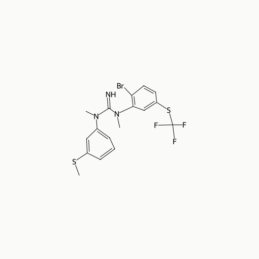 CSc1cccc(N(C)C(=N)N(C)c2cc(SC(F)(F)F)ccc2Br)c1